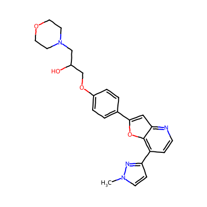 Cn1ccc(-c2ccnc3cc(-c4ccc(OCC(O)CN5CCOCC5)cc4)oc23)n1